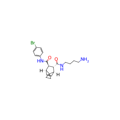 NCCCCNC(=O)[C@H]1[C@H](C(=O)Nc2ccc(Br)cc2)[C@@H]2C=C[C@H]1C21CC1